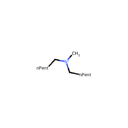 CCCCCC[N+](C)CCCCCC